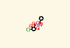 COc1ccc(Cl)c(OC)c1C(=O)NOC(=O)c1ccccc1